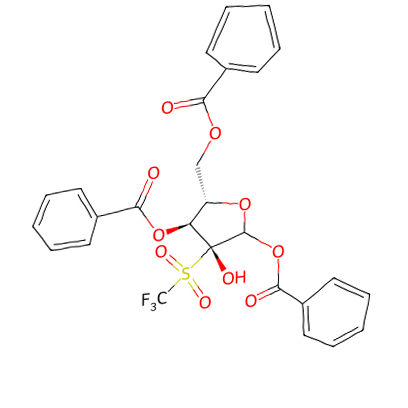 O=C(OC[C@@H]1OC(OC(=O)c2ccccc2)[C@](O)(S(=O)(=O)C(F)(F)F)[C@H]1OC(=O)c1ccccc1)c1ccccc1